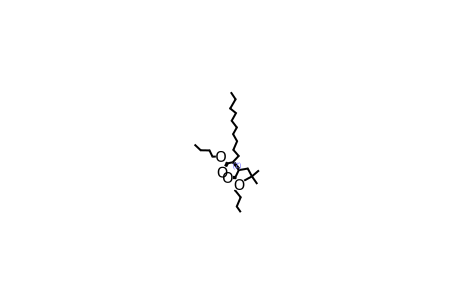 CCCCCCCCCC/C(C(=O)OCCCC)=C(\CC(C)(C)C)C(=O)OCCCC